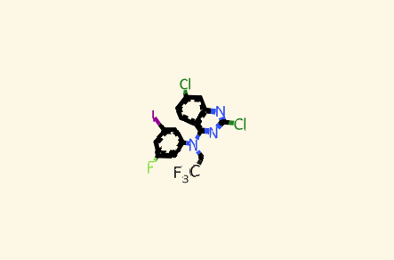 Fc1cc(I)cc(N(CC(F)(F)F)c2nc(Cl)nc3cc(Cl)ccc23)c1